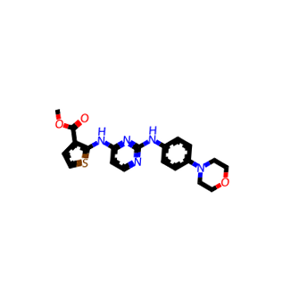 COC(=O)c1ccsc1Nc1ccnc(Nc2ccc(N3CCOCC3)cc2)n1